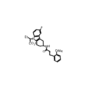 CCC(C(=O)O)n1c2c(c3cc(F)ccc31)CC(NC(=O)CCc1ccccc1OC)CC2